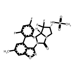 Cc1cc(-c2c(F)cc(F)cc2F)c2c(N3C[C@H]4N(C[C@@H](NS(C)(=O)=O)C4(F)F)C3=O)noc2c1